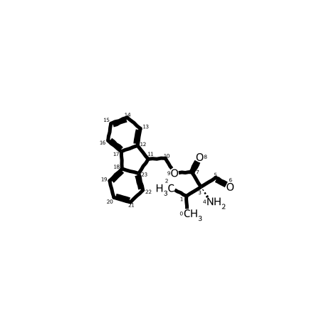 CC(C)[C@](N)([C]=O)C(=O)OCC1c2ccccc2-c2ccccc21